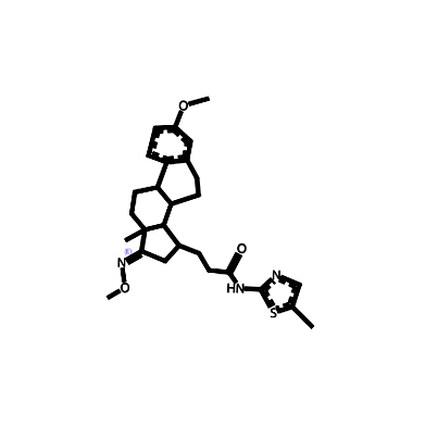 CO/N=C1\CC(CCC(=O)Nc2ncc(C)s2)C2C3CCc4cc(OC)ccc4C3CCC12C